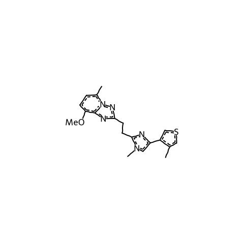 COc1ccc(C)n2nc(CCc3nc(-c4cscc4C)cn3C)nc12